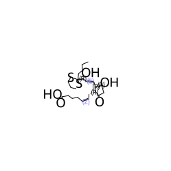 CCCCC1([C@H](O)/C=C/[C@H]2[C@H](O)CC(=O)[C@@H]2C/C=C\CCCC(=O)O)SCCCS1